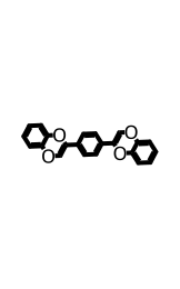 C1=C(c2ccc(C3=COc4ccccc4O3)cc2)Oc2ccccc2O1